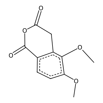 COc1ccc2c(c1OC)CC(=O)OC2=O